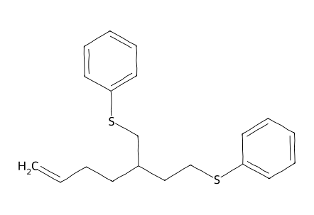 C=CCCC(CCSc1ccccc1)CSc1ccccc1